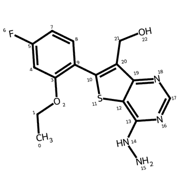 CCOc1cc(F)ccc1-c1sc2c(NN)ncnc2c1CO